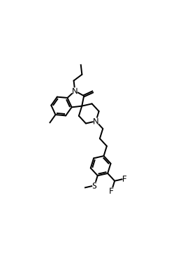 C=C1N(CCC)c2ccc(C)cc2C12CCN(CCCc1ccc(SC)c(C(F)F)c1)CC2